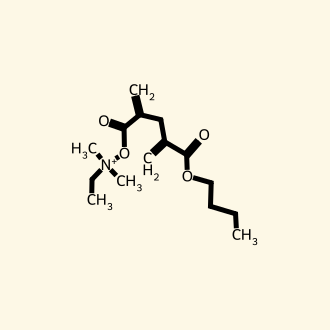 C=C(CC(=C)C(=O)O[N+](C)(C)CC)C(=O)OCCCC